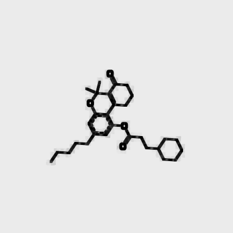 CCCCCc1cc(OC(=O)CCC2CCCCC2)c2c(c1)OC(C)(C)C1=C2CCCC1=O